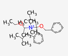 CCOC(C)[N+](C)(C)C(CC(C)C)(OCc1ccccc1)c1ccccc1CC(C)C